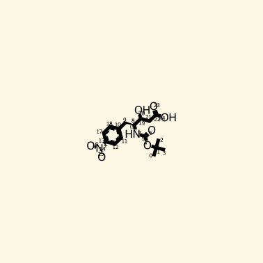 CC(C)(C)OC(=O)N[C@@H](Cc1ccc([N+](=O)[O-])cc1)C(O)CC(=O)O